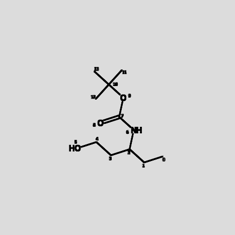 CCC(CCO)NC(=O)OC(C)(C)C